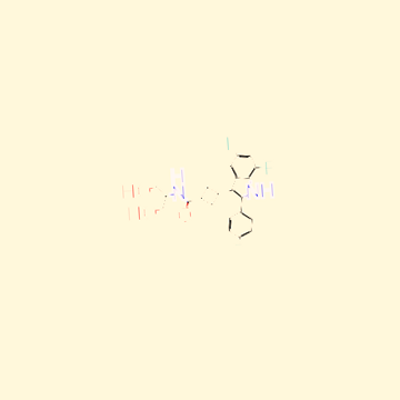 O=C(NC(CO)CO)[C@H]1C[C@@H](c2c(-c3ccc(F)cc3)[nH]c3c(F)cc(F)cc32)C1